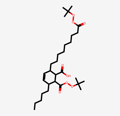 CCCCCC1C=CC(CCCCCCCCC(=O)OOC(C)(C)C)C(C(=O)O)C1C(=O)OOC(C)(C)C